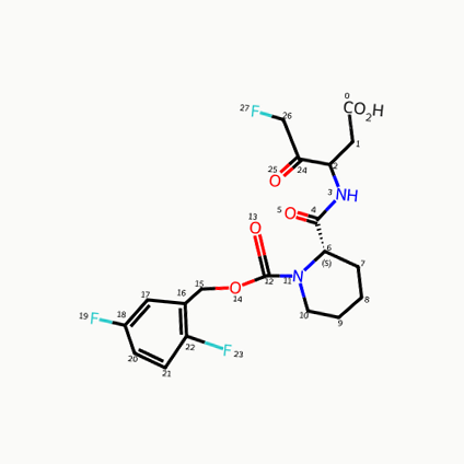 O=C(O)CC(NC(=O)[C@@H]1CCCCN1C(=O)OCc1cc(F)ccc1F)C(=O)CF